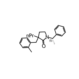 CCCC1(Cc2ccccc2C)CCN([C@@H](C)c2ccccc2)C1=O